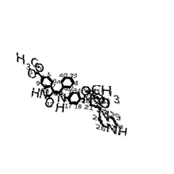 COC(=O)c1ccc2c(c1)NC(=O)/C2=C(\Nc1ccc(N(CC(=O)N2CCNCC2)S(C)(=O)=O)cc1)c1ccccc1